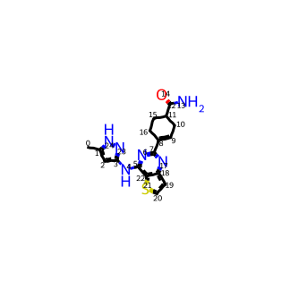 Cc1cc(Nc2nc(C3=CCC(C(N)=O)CC3)nc3ccsc23)n[nH]1